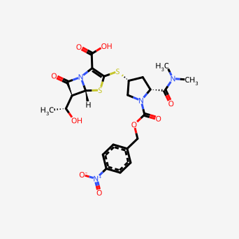 C[C@@H](O)[C@H]1C(=O)N2C(C(=O)O)=C(S[C@@H]3C[C@H](C(=O)N(C)C)N(C(=O)OCc4ccc([N+](=O)[O-])cc4)C3)S[C@H]12